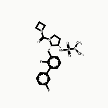 CN(C)S(=O)(=O)N[C@H]1CCN(C(=O)N2CCC2)[C@H]1Cc1cccc(-c2cccc(F)c2)c1F